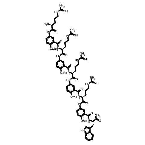 COc1ccc(NC(=O)[C@H](CCCNC(=N)N)NC(=O)c2cc(NC(=O)[C@H](CCCNC(=N)N)NC(=O)c3cc(NC(=O)[C@H](CCCNC(=N)N)NC(=O)c4cc(NC(=O)[C@@H](N)CCCNC(=N)N)ccc4OC)ccc3OC)ccc2OC)cc1C(=O)N[C@@H](Cc1c[nH]c2ccccc12)C(N)=O